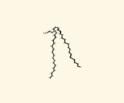 CCCCCCCCCCCCCCCC=CC1=NCC[N+]1(CCO)CCCCCCCCCCCCCCCCCC